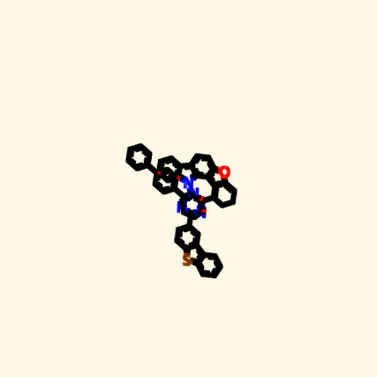 C1=c2oc3ccc4c5ccccc5n(-c5ccccc5)c4c3c2=C(c2nc(-c3ccc(-c4ccccc4)cc3)nc(-c3ccc4sc5ccccc5c4c3)n2)CC1